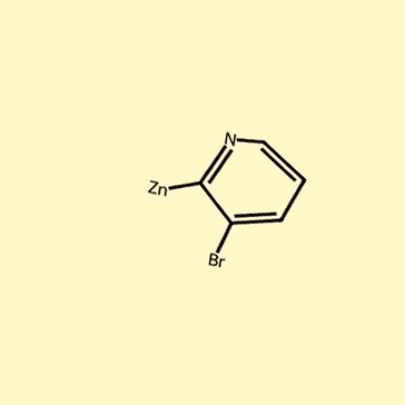 [Zn][c]1ncccc1Br